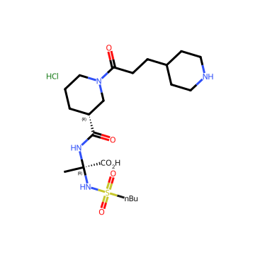 CCCCS(=O)(=O)N[C@@](C)(NC(=O)[C@@H]1CCCN(C(=O)CCC2CCNCC2)C1)C(=O)O.Cl